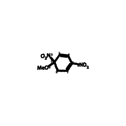 COC1([N+](=O)[O-])C=CC([N+](=O)[O-])=CC1